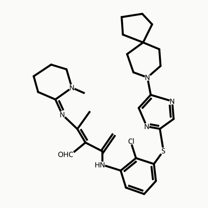 C=C(Nc1cccc(Sc2cnc(N3CCC4(CCCC4)CC3)cn2)c1Cl)/C(C=O)=C(C)/N=C1/CCCCN1C